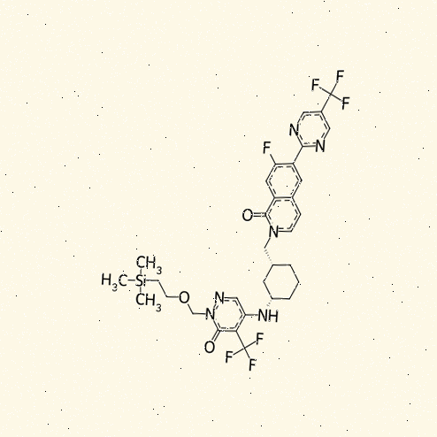 C[Si](C)(C)CCOCn1ncc(N[C@H]2CCC[C@@H](Cn3ccc4cc(-c5ncc(C(F)(F)F)cn5)c(F)cc4c3=O)C2)c(C(F)(F)F)c1=O